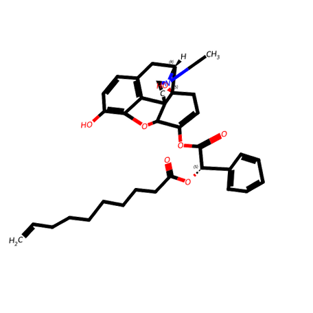 C=CCCCCCCCC(=O)O[C@H](C(=O)OC1=CC[C@@]2(O)[C@H]3Cc4ccc(O)c5c4C2(CCN3C)C1O5)c1ccccc1